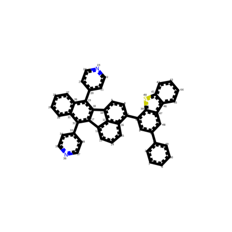 c1ccc(-c2cc(-c3ccc4c5c(cccc35)-c3c-4c(-c4ccncc4)c4ccccc4c3-c3ccncc3)c3sc4ccccc4c3c2)cc1